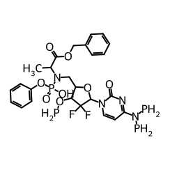 CC(C(=O)OCc1ccccc1)N(CC1OC(n2ccc(N(P)P)nc2=O)C(F)(F)C1OP)P(=O)(O)Oc1ccccc1